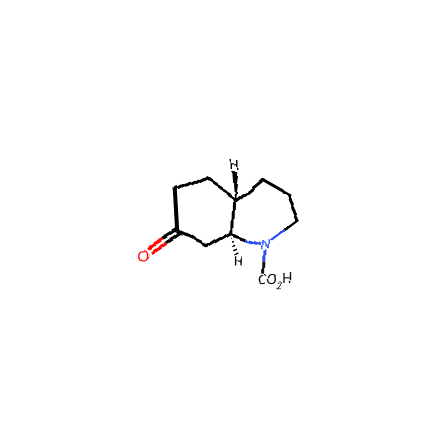 O=C1CC[C@@H]2CCCN(C(=O)O)[C@H]2C1